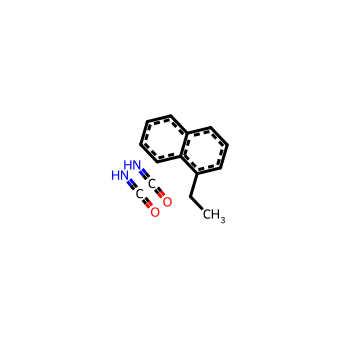 CCc1cccc2ccccc12.N=C=O.N=C=O